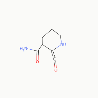 NC(=O)C1CCCNC1=C=O